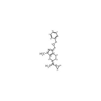 Cc1nn(COCc2ccccc2)c2c1CC(N(C)C1CC1)CC2